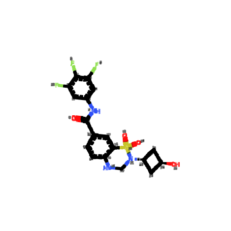 O=C(Nc1cc(F)c(F)c(F)c1)c1ccc2c(c1)S(=O)(=O)N([C@H]1C[C@H](O)C1)CN2